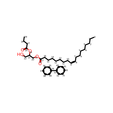 CCCCCCCC/C=C\CCCCCCCC(=O)OCC(CO)OC(=O)CCC.c1ccc(-c2ccccc2)cc1